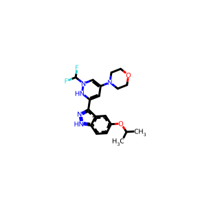 CC(C)Oc1ccc2[nH]nc(C3=CC(N4CCOCC4)=CN(C(F)F)N3)c2c1